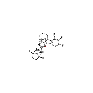 Cc1cc(N2C[C@H]3CC[C@@H](C2)[C@@H]3Nc2nc3n(n2)CCCC[C@H]3c2ccc(F)c(F)c2F)cnn1